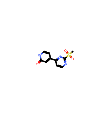 CS(=O)(=O)c1nccc(-c2cc[nH]c(=O)c2)n1